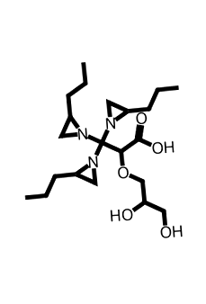 CCCC1CN1C(C(OCC(O)CO)C(=O)O)(N1CC1CCC)N1CC1CCC